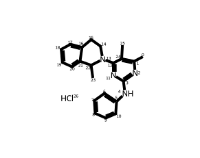 Cc1nc(Nc2ccccc2)nc(N2CCc3ccccc3C2C)c1C.Cl